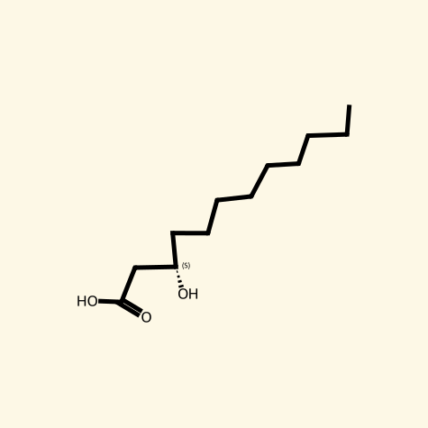 CCCCCCCCC[C@H](O)CC(=O)O